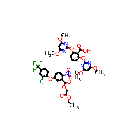 CCOC(=O)COC(=O)c1cc(Oc2ccc(C(F)(F)F)cc2Cl)ccc1[N+](=O)[O-].COc1cc(OC)nc(Oc2cccc(Oc3nc(OC)cc(OC)n3)c2C(=O)O)n1